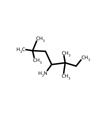 CCC(C)(C)C(N)CC(C)(C)C